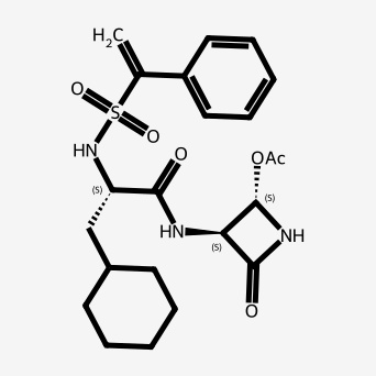 C=C(c1ccccc1)S(=O)(=O)N[C@@H](CC1CCCCC1)C(=O)N[C@@H]1C(=O)N[C@H]1OC(C)=O